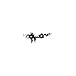 CC(C)CCN1CCC(CNC(=O)c2cc(Cl)c(N)[nH]c2=O)CC1